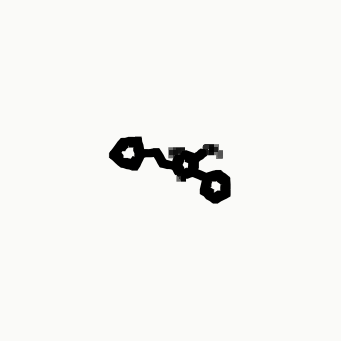 Cc1[nH]c(CCc2ccccc2)nc1-c1ccccc1